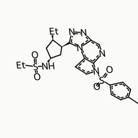 CC[C@@H]1C[C@H](NS(=O)(=O)CC)C[C@@H]1c1nnc2cnc3c(ccn3S(=O)(=O)c3ccc(C)cc3)n12